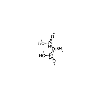 O=[PH](O)O[PH](=O)O.S